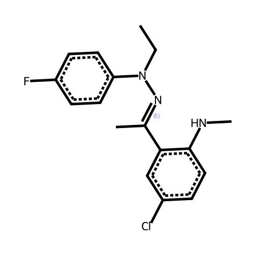 CCN(/N=C(\C)c1cc(Cl)ccc1NC)c1ccc(F)cc1